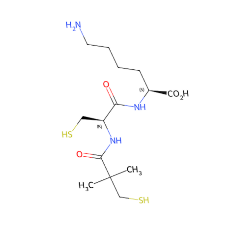 CC(C)(CS)C(=O)N[C@@H](CS)C(=O)N[C@@H](CCCCN)C(=O)O